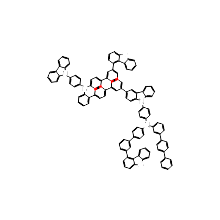 c1ccc(-c2ccc(-c3cccc(N(c4ccc(-c5cccc(-c6cccc7oc8ccccc8c67)c5)cc4)c4ccc(-n5c6ccccc6c6cc(-c7cccc(-c8ccc(-c9ccccc9N(c9ccc(-c%10cccc(-c%11cccc%12oc%13ccccc%13c%11%12)c%10)cc9)c9ccc(-n%10c%11ccccc%11c%11ccccc%11%10)cc9)cc8)c7)ccc65)cc4)c3)cc2)cc1